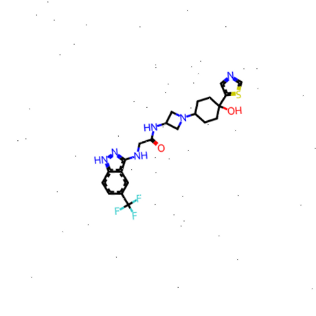 O=C(CNc1n[nH]c2ccc(C(F)(F)F)cc12)NC1CN(C2CCC(O)(c3cncs3)CC2)C1